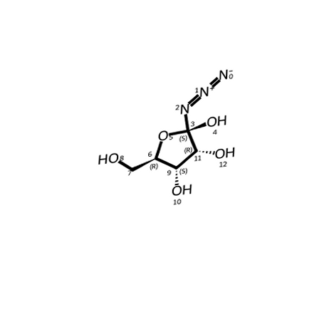 [N-]=[N+]=N[C@@]1(O)O[C@H](CO)[C@@H](O)[C@H]1O